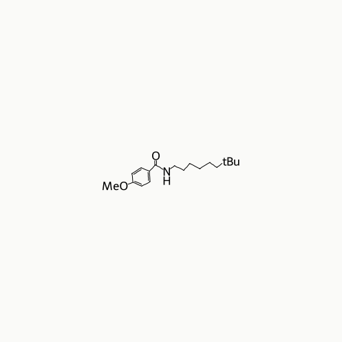 COc1ccc(C(=O)NCCCCCCC(C)(C)C)cc1